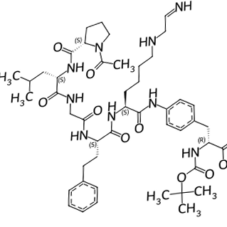 CC(=O)N1CCC[C@H]1C(=O)N[C@@H](CC(C)C)C(=O)NCC(=O)N[C@@H](CCc1ccccc1)C(=O)N[C@@H](CCCCNCC=N)C(=O)Nc1ccc(C[C@@H](NC(=O)OC(C)(C)C)C(=O)O)cc1